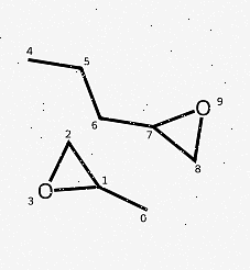 CC1CO1.CCCC1CO1